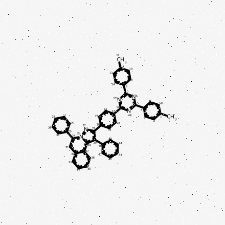 Cc1ccc(-c2nc(-c3ccc(C)cc3)nc(-c3ccc(-c4nn5c(-c6ccccc6)cc6ccccc6c5c4-c4ccccc4)cc3)n2)cc1